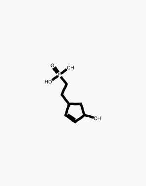 O=P(O)(O)CCC1C=CC(O)C1